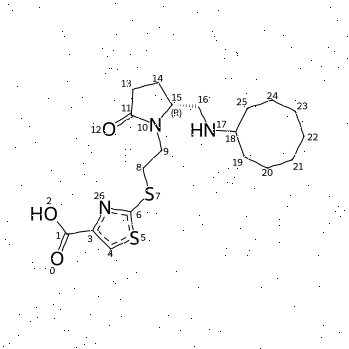 O=C(O)c1csc(SCCN2C(=O)CC[C@@H]2CNC2CCCCCCC2)n1